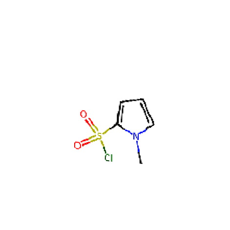 Cn1cccc1S(=O)(=O)Cl